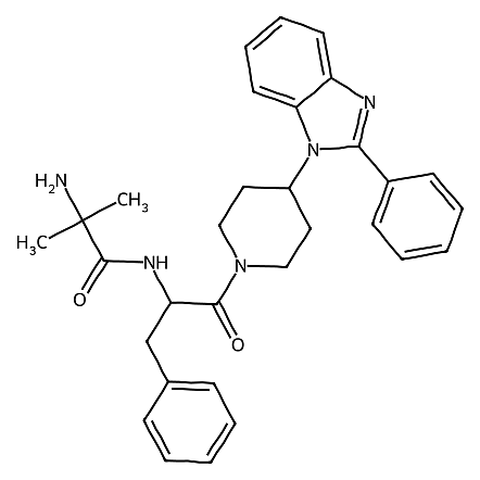 CC(C)(N)C(=O)NC(Cc1ccccc1)C(=O)N1CCC(n2c(-c3ccccc3)nc3ccccc32)CC1